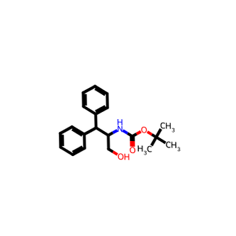 CC(C)(C)OC(=O)NC(CO)C(c1ccccc1)c1ccccc1